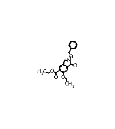 CCOC(=O)c1cc2c(cc1OCC)C(=O)N(OCc1ccccc1)C2